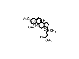 CC(=O)O[C@@H]1CC2=CC=C3[C@@H]4CC[C@H]([C@H](C)CC[C@H](OC(C)=O)C(C)C)[C@@]4(C)CC[C@@H]3[C@@]2(C)[C@@H](OC(C)=O)C1